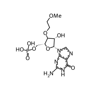 COCCOC1[C@@H](COP(=O)(O)O)O[C@@H](n2cnc3c(=O)[nH]c(N)nc32)[C@H]1O